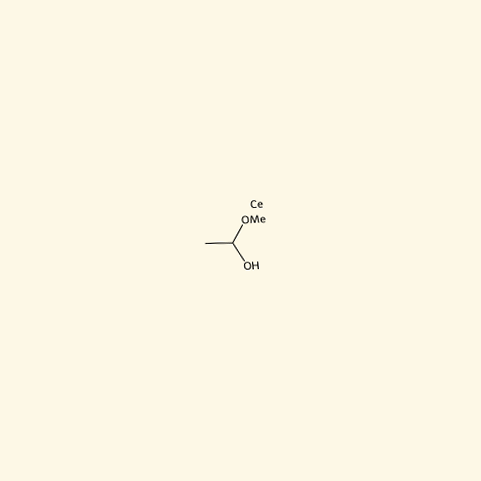 COC(C)O.[Ce]